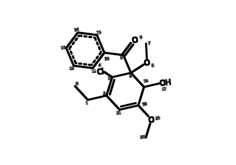 CCC1=C(Cl)C(OC)(C(=O)c2ccccc2)C(O)C(OC)=C1